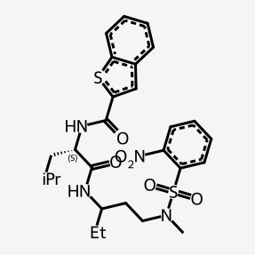 CCC(CCN(C)S(=O)(=O)c1ccccc1[N+](=O)[O-])NC(=O)[C@H](CC(C)C)NC(=O)c1cc2ccccc2s1